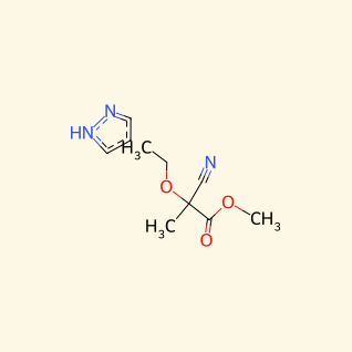 CCOC(C)(C#N)C(=O)OC.c1cn[nH]c1